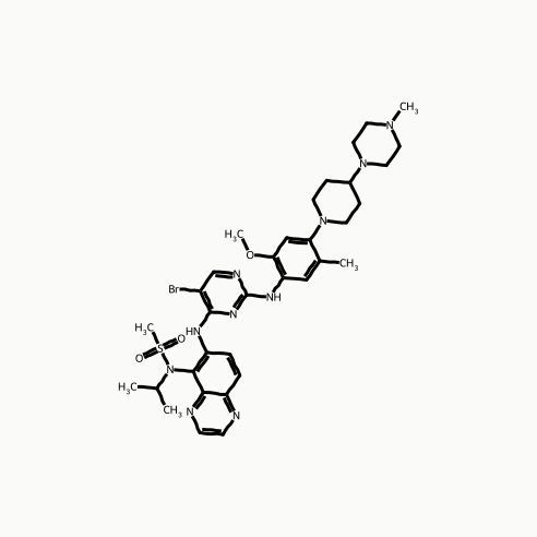 COc1cc(N2CCC(N3CCN(C)CC3)CC2)c(C)cc1Nc1ncc(Br)c(Nc2ccc3nccnc3c2N(C(C)C)S(C)(=O)=O)n1